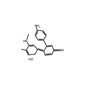 CNC1=CC(=C2C=CC(=N)C=C2c2ccc(N)cc2)CC=C1C.Cl